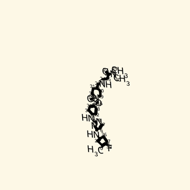 Cc1cc(Nc2ccnc(Nc3ccc(S(=O)(=O)N4CCC(CNCCC(=O)N(C)C)CC4)cc3)n2)ccc1F